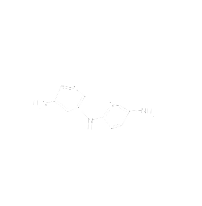 Nc1ccc(Nc2cncc(N)c2)nc1